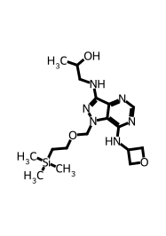 CC(O)CNc1nn(COCC[Si](C)(C)C)c2c(NC3COC3)ncnc12